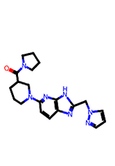 O=C(C1CCCN(c2ccc3nc(Cn4cccn4)[nH]c3n2)C1)N1CCCC1